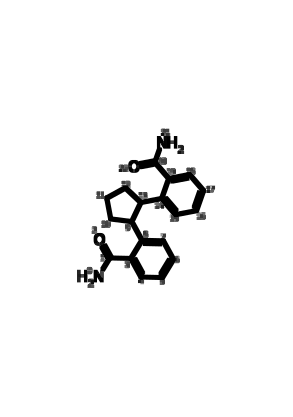 NC(=O)c1ccccc1C1CCCC1c1ccccc1C(N)=O